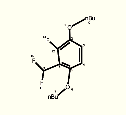 CCCCOc1ccc(OCCCC)c(C(F)F)c1F